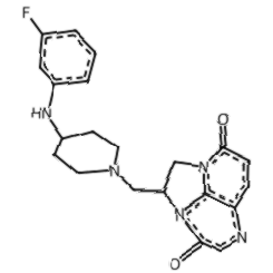 O=c1ccc2ncc(=O)n3c2n1CC3CN1CCC(Nc2cccc(F)c2)CC1